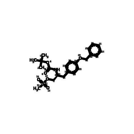 CC(C)(C)OC(=O)N[C@H](COS(C)(=O)=O)Cc1ccc(OCc2ccccc2)cc1